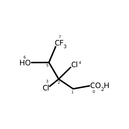 O=C(O)CC(Cl)(Cl)C(O)C(F)(F)F